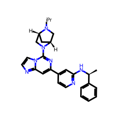 CC(C)N1C[C@H]2C[C@@H]1CN2c1nc(-c2ccnc(N[C@@H](C)c3ccccc3)c2)cc2nccn12